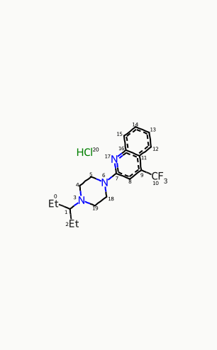 CCC(CC)N1CCN(c2cc(C(F)(F)F)c3ccccc3n2)CC1.Cl